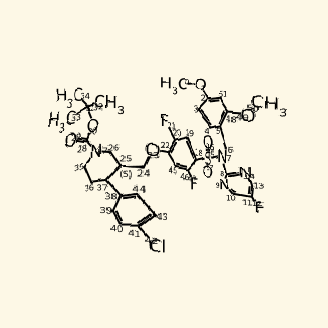 COc1ccc(CN(c2ncc(F)cn2)S(=O)(=O)c2cc(F)c(OC[C@@H]3CN(C(=O)OC(C)(C)C)CCC3c3ccc(Cl)cc3)cc2F)c(OC)c1